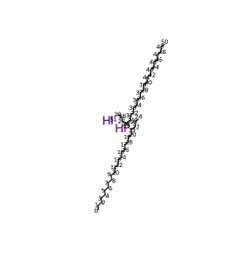 CCCCCCCCCCCCCCCCCCCCCC(CCC)PC(CCC)CCCCCCCCCCCCCCCCCCCCC.I